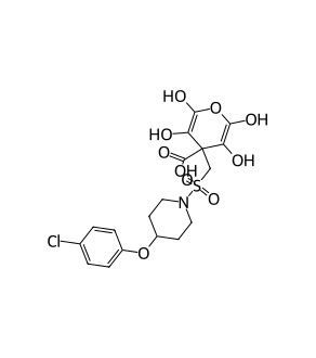 O=C(O)C1(CS(=O)(=O)N2CCC(Oc3ccc(Cl)cc3)CC2)C(O)=C(O)OC(O)=C1O